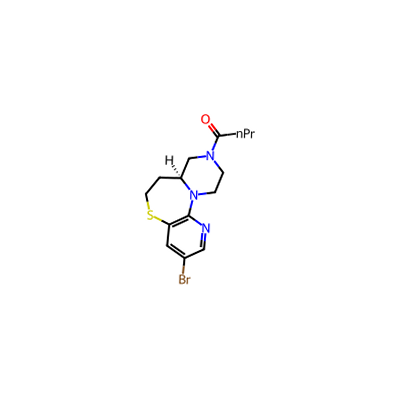 CCCC(=O)N1CCN2c3ncc(Br)cc3SCC[C@H]2C1